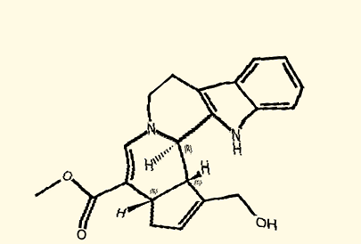 COC(=O)C1=CN2CCc3c([nH]c4ccccc34)[C@H]2[C@@H]2C(CO)=CC[C@H]12